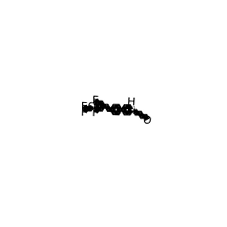 COCCCCC[Si@H]1CC[C@H](C2CCC(CCc3cc(F)c(OC=C(F)F)c(F)c3)CC2)CC1